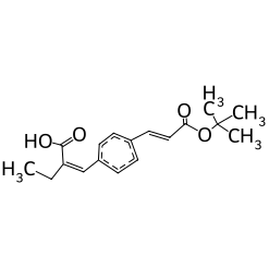 CCC(=Cc1ccc(C=CC(=O)OC(C)(C)C)cc1)C(=O)O